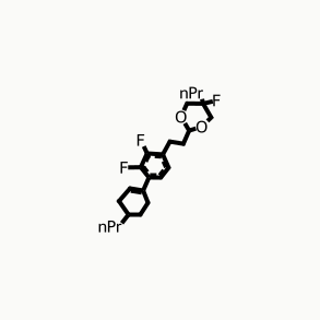 CCCC1CC=C(c2ccc(CCC3OCC(F)(CCC)CO3)c(F)c2F)CC1